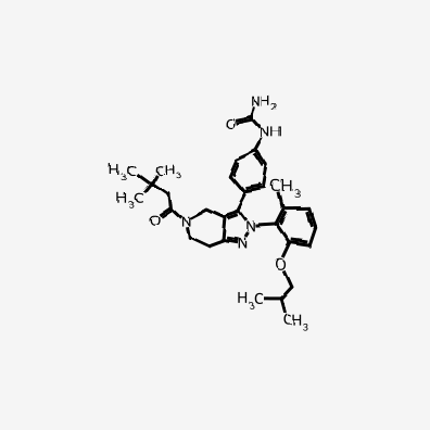 Cc1cccc(OCC(C)C)c1-n1nc2c(c1-c1ccc(NC(N)=O)cc1)CN(C(=O)CC(C)(C)C)CC2